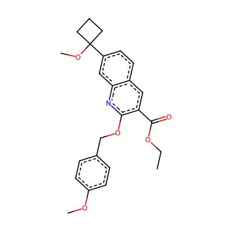 CCOC(=O)c1cc2ccc(C3(OC)CCC3)cc2nc1OCc1ccc(OC)cc1